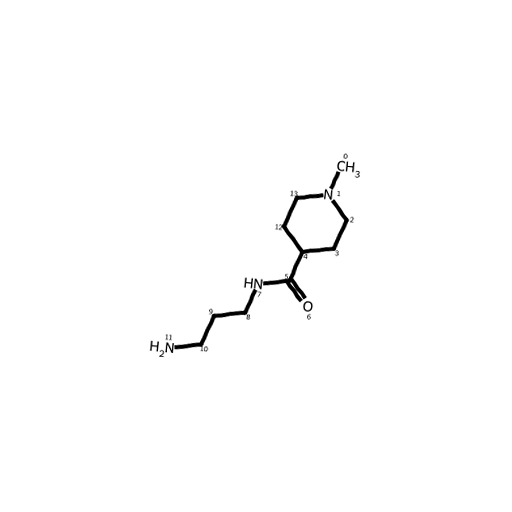 CN1CCC(C(=O)NCCCN)CC1